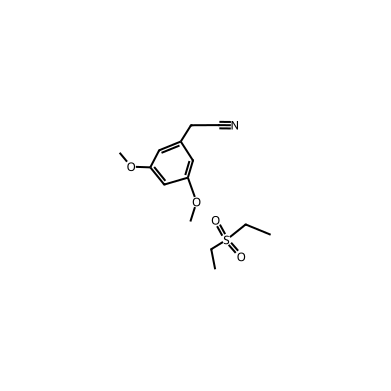 CCS(=O)(=O)CC.COc1cc(CC#N)cc(OC)c1